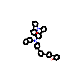 c1cc(-c2ccc(N(c3ccc(-c4ccccc4-n4c5ccccc5c5ccccc54)cc3)c3ccc4ccccc4c3)cc2)cc(-c2ccc3c(c2)oc2ccccc23)c1